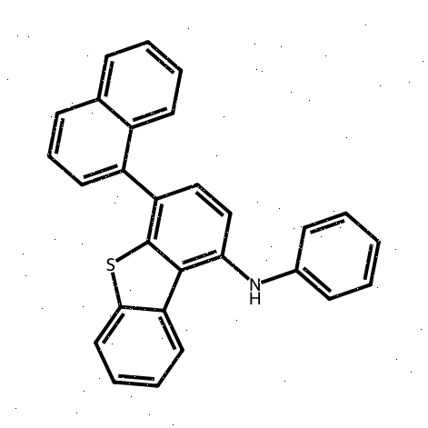 c1ccc(Nc2ccc(-c3cccc4ccccc34)c3sc4ccccc4c23)cc1